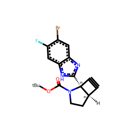 CC(C)(C)OC(=O)N1CC[C@@H]2C#C[C@@]21c1nc2cc(Br)c(F)cc2[nH]1